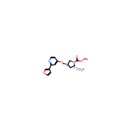 CC(C)(C)OC(=O)N1C[C@H](COc2ccnc(-c3ccoc3)c2)C[C@H]1C(=O)O